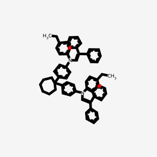 CCc1ccc(N(C=C(c2ccccc2)c2ccccc2)c2ccc(C3(c4ccc(N(C=C(c5ccccc5)c5ccccc5)c5ccc(CC)cc5)cc4)CCCCCC3)cc2)cc1